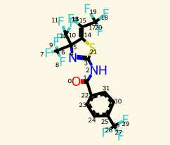 O=C(NC1=NC(C(F)(F)F)(C(F)(F)F)C(=C(F)C(F)(F)F)S1)c1ccc(C(F)(F)F)cc1